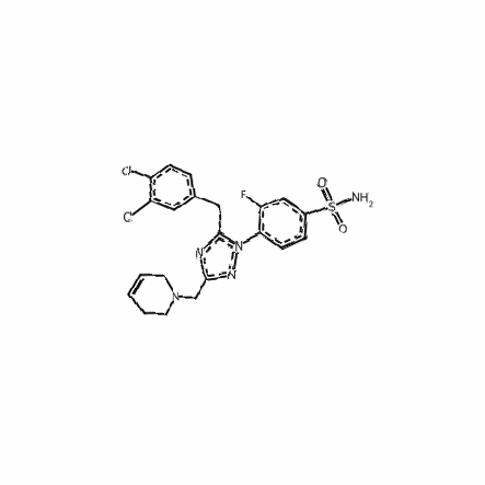 NS(=O)(=O)c1ccc(-n2nc(CN3CC=CCC3)nc2Cc2ccc(Cl)c(Cl)c2)c(F)c1